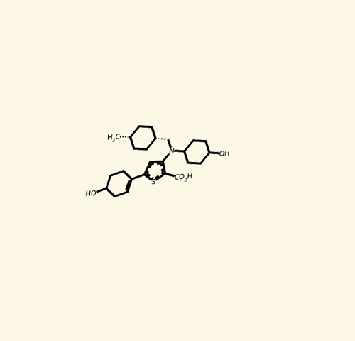 C[C@H]1CC[C@@H](CN(c2cc(C3=CCC(O)CC3)sc2C(=O)O)C2CCC(O)CC2)CC1